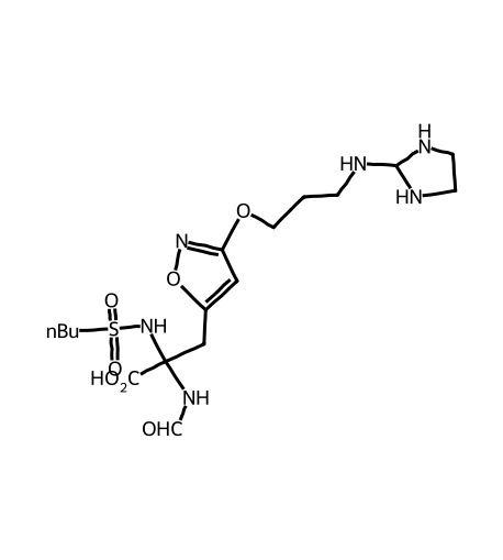 CCCCS(=O)(=O)NC(Cc1cc(OCCCNC2NCCN2)no1)(NC=O)C(=O)O